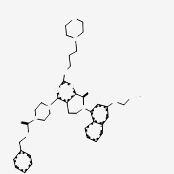 COCOc1cc(N2CCc3c(nc(OCCCN4CCOCC4)nc3N3CCN(C(=O)OCc4ccccc4)CC3)C2=O)c2ccccc2c1